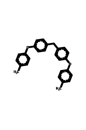 Cc1ccc(Oc2ccc(Cc3ccc(Oc4ccc(C)cc4)cc3)cc2)cc1